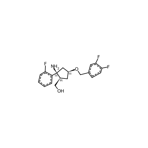 N[C@@]1(c2ccccc2F)C[C@@H](OCc2ccc(F)c(F)c2)C[C@H]1CO